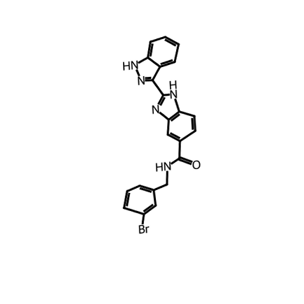 O=C(NCc1cccc(Br)c1)c1ccc2[nH]c(-c3n[nH]c4ccccc34)nc2c1